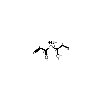 C=CC(=O)OC(O)CC.[NaH]